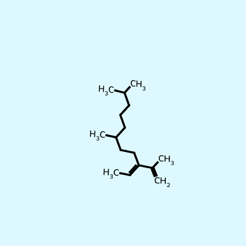 C=C(C)C(=CC)CCC(C)CCCC(C)C